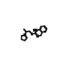 CC(CSC1=NCc2ccccc2N1)N1CCCC1